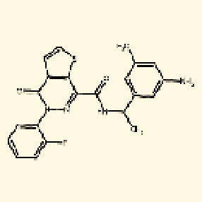 CC(NC(=O)c1nn(-c2ccccc2F)c(=O)c2ccsc12)c1cc(N)cc(C(F)(F)F)c1